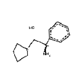 Cl.N[C@@H](CN1CCCC1)c1ccccc1